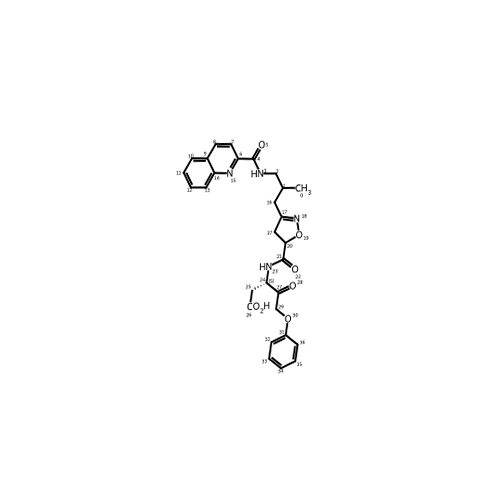 CC(CNC(=O)c1ccc2ccccc2n1)CC1=NOC(C(=O)N[C@@H](CC(=O)O)C(=O)COc2ccccc2)C1